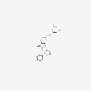 C=C1C2=C(CC(CC/C(=C/CC)CC(C)C)CC2)CC1C[C@]1(c2ccc(C)cc2)CC(=O)CC1=O